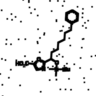 CC(C)(C)[Si](C)(C)OC(CCCCCCc1ccccc1)c1ncc(C(=O)O)o1